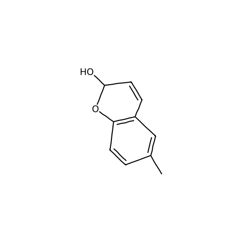 Cc1ccc2c(c1)C=CC(O)O2